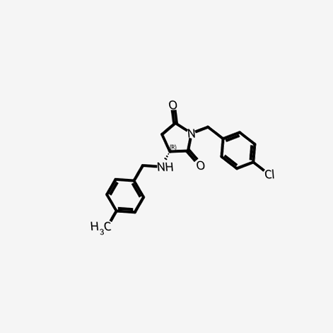 Cc1ccc(CN[C@@H]2CC(=O)N(Cc3ccc(Cl)cc3)C2=O)cc1